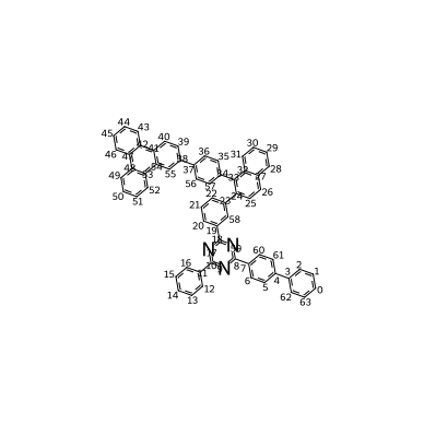 c1ccc(-c2ccc(-c3nc(-c4ccccc4)nc(-c4cccc(-c5ccc6ccccc6c5-c5ccc(-c6ccc7c8ccccc8c8ccccc8c7c6)cc5)c4)n3)cc2)cc1